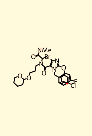 CNC(=O)C(C)N(CCCOC1CCCCO1)C(=O)c1c(Br)nc(Oc2cccc(F)c2)n1Cc1ccc(Cl)cc1